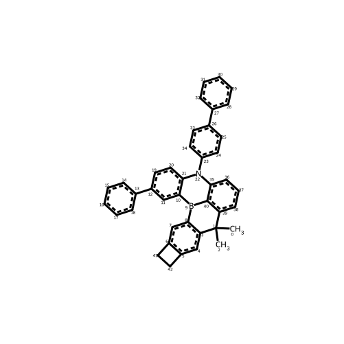 CC1(C)c2cc3c(cc2B2c4cc(-c5ccccc5)ccc4N(c4ccc(-c5ccccc5)cc4)c4cccc1c42)CC3